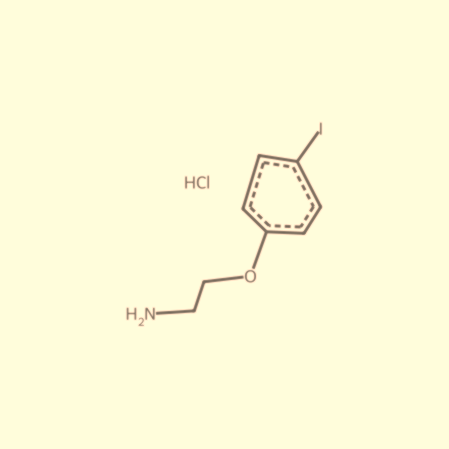 Cl.NCCOc1ccc(I)cc1